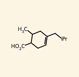 CC(C)CC1=CCC(C(=O)O)C(C)C1